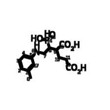 Cc1cccc(NCC(C(CCC(=O)O)C(=O)O)[PH](=O)O)c1